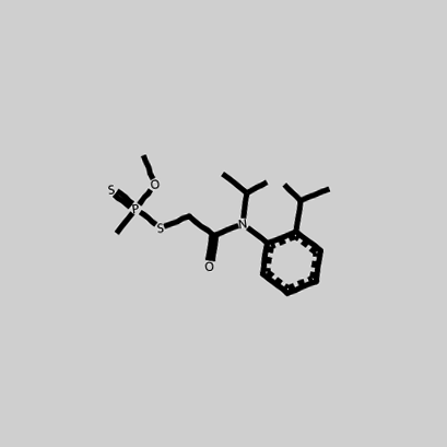 COP(C)(=S)SCC(=O)N(c1ccccc1C(C)C)C(C)C